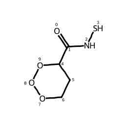 O=C(NS)C1CCOOO1